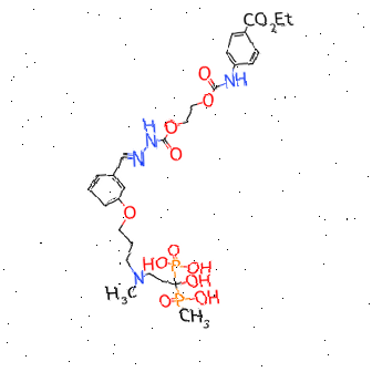 CCOC(=O)c1ccc(NC(=O)OCCOC(=O)N/N=C/c2cccc(OCCCN(C)CCC(O)(P(C)(=O)O)P(=O)(O)O)c2)cc1